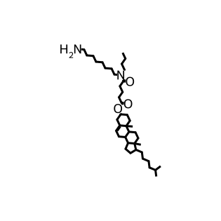 CCCCN(CCCCCCCCN)C(=O)CCCC(=O)OC1CCC2(C)C(=CCC3C2CCC2(C)C(CCCCC(C)C)CCC32)C1